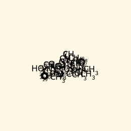 CC[C@H](C)[C@@H](C(CC(=O)N1CCC[C@H]1[C@H](OC)[C@@H](C)C(=O)N[C@H](C)[C@@H](O)c1ccccc1)OC)N(C)C(=O)[C@@H](NC(=O)[C@H](C(C)C)N1CCCCC1)C(C)C